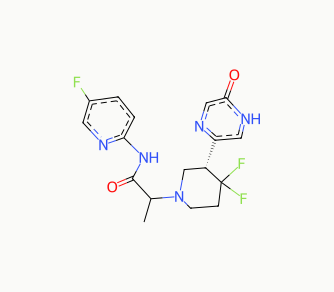 CC(C(=O)Nc1ccc(F)cn1)N1CCC(F)(F)[C@@H](c2c[nH]c(=O)cn2)C1